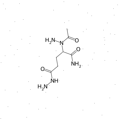 CC(=O)N(N)C(CCC(=O)NN)C(N)=O